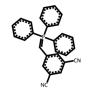 N#Cc1cc(C#N)cc(C=P(c2ccccc2)(c2ccccc2)c2ccccc2)c1